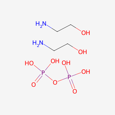 NCCO.NCCO.O=P(O)(O)OP(=O)(O)O